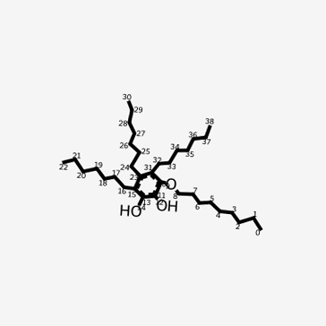 CCCCCCCCCOc1c(O)c(O)c(CCCCCCC)c(CCCCCCC)c1CCCCCCC